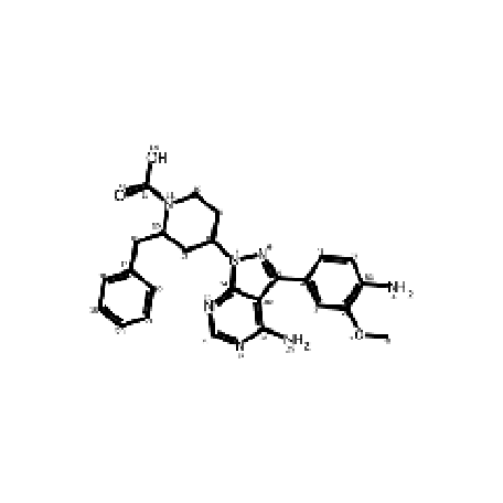 COc1cc(-c2nn(C3CCN(C(=O)O)C(Cc4ccccc4)C3)c3ncnc(N)c23)ccc1N